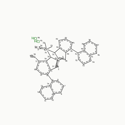 CC1=Cc2c(-c3cccc4ccccc34)ccc(C(C)(C)C)c2[CH]1[Zr]([CH3])([CH3])(=[SiH2])[CH]1C(C(C)C)=Cc2c(-c3cccc4ccccc34)cccc21.Cl.Cl